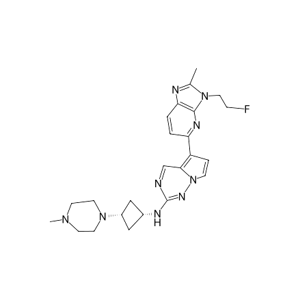 Cc1nc2ccc(-c3ccn4nc(N[C@H]5C[C@@H](N6CCN(C)CC6)C5)ncc34)nc2n1CCF